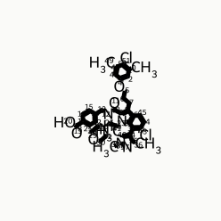 Cc1cc(OCCCc2c(C(=O)NCc3ccc(C(=O)O)cc3)n(CCN3CCOCC3)c3c(-c4c(C)nn(C)c4C)c(Cl)ccc23)cc(C)c1Cl